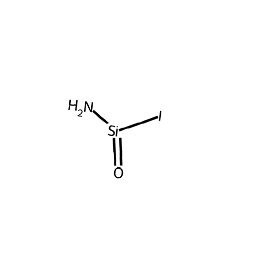 N[Si](=O)I